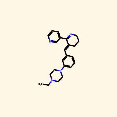 CCN1CCN(c2cccc(C=C3CCCN=C3c3cccnc3)c2)CC1